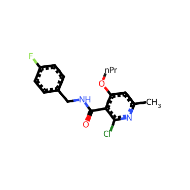 CCCOc1cc(C)nc(Cl)c1C(=O)NCc1ccc(F)cc1